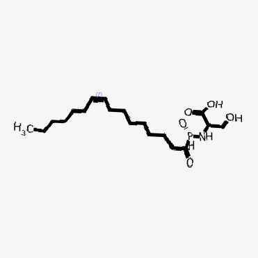 CCCCCC/C=C\CCCCCCCC(=O)[PH](=O)NC(CO)C(=O)O